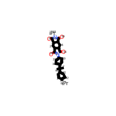 CC(C)c1ccc(C(C)(C)c2ccc(N3C(=O)C4CC5C(=O)N(C(C)C)C(=O)C5CC4C3=O)cc2)cc1